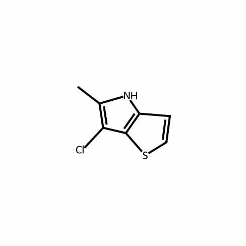 Cc1[nH]c2ccsc2c1Cl